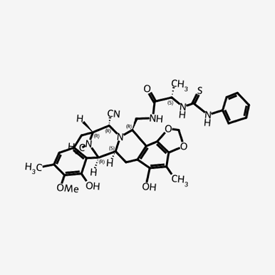 COc1c(C)cc2c(c1O)[C@@H]1[C@@H]3Cc4c(O)c(C)c5c(c4[C@H](CNC(=O)[C@H](C)NC(=S)Nc4ccccc4)N3[C@@H](C#N)[C@@H](C2)N1C)OCO5